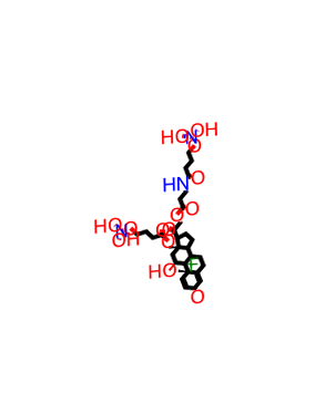 C[C@]12C=CC(=O)C=C1CCC1C3CC[C@](OC(=O)CCCON(O)O)(C(=O)COC(=O)CCNC(=O)CCCON(O)O)[C@@]3(C)C[C@H](O)[C@@]12F